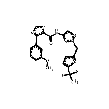 COc1cccc(-c2ocnc2C(=O)Nc2cnn(Cc3ccc(C(C)(F)F)o3)n2)c1